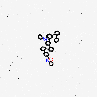 c1ccc(-c2ccccc2-c2ccc3c(c2)c2cc(-c4ccccc4-c4ccccc4-c4ccc(-c5nc6ccccc6o5)cc4)ccc2n3-c2ccccc2)cc1